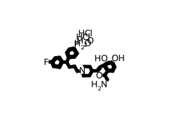 Cl.Cl.NCC1OC(C2CCN(CCCC(c3ccc(F)cc3)c3ccc(F)cc3)CC2)=Cc2c1ccc(O)c2O.O.O